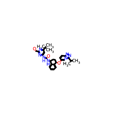 CC(C)c1nnc2ccc(O[C@@H]3CC[C@H](NC(=O)Nc4cc(C(C)(C)C)nc(C=O)n4)c4ccccc43)cn12